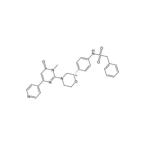 Cn1c(N2CCO[C@@H](c3ccc(NS(=O)(=O)Cc4ccccc4)cc3)C2)nc(-c2ccncc2)cc1=O